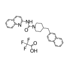 O=C(Nc1ccc2ccccc2n1)N1CCC(Cc2ccc3ccccc3c2)CC1.O=C(O)C(F)(F)F